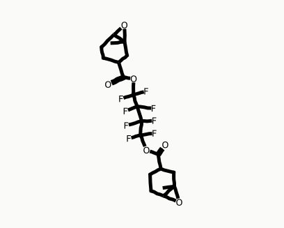 CC12CC(C(=O)OC(F)(F)C(F)(F)C(F)(F)C(F)(F)OC(=O)C3CCC4OC4(C)C3)CCC1O2